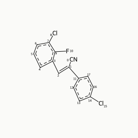 N#CC(=Cc1cccc(Cl)c1F)c1ccc(Cl)cc1